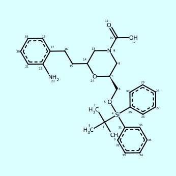 CC(C)(C)[Si](OC[C@@H]1CN(C(=O)O)CC(CCc2ccccc2N)O1)(c1ccccc1)c1ccccc1